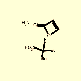 CCC(C)C(CC)(CC)S(=O)(=O)O.N.O=C1C=CO1